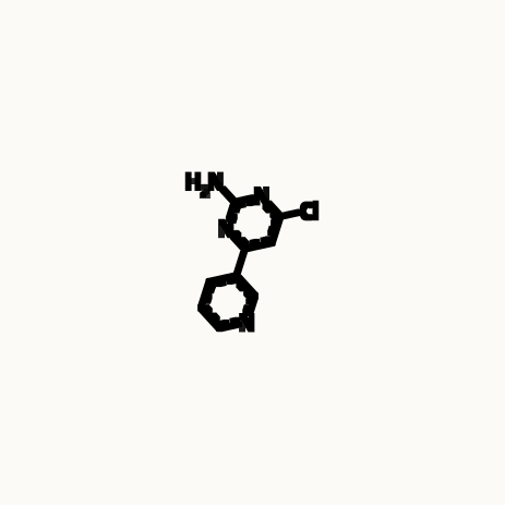 Nc1nc(Cl)cc(-c2cccnc2)n1